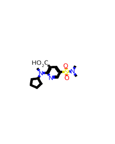 CN(c1ncc(S(=O)(=O)N(C)C)cc1C(=O)O)C1CCCC1